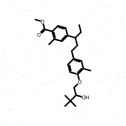 CCC(CCc1ccc(OCC(O)C(C)(C)C)c(C)c1)c1ccc(C(=O)OC)c(C)c1